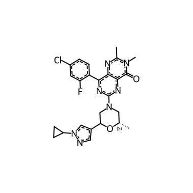 Cc1nc2c(-c3ccc(Cl)cc3F)nc(N3CC(c4cnn(C5CC5)c4)O[C@@H](C)C3)nc2c(=O)n1C